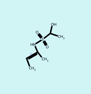 C/C=C(\C)NS(=O)(=O)C(C)O